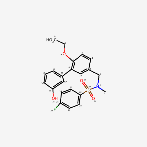 CN(Cc1ccc(OCC(=O)O)c(-c2cccc(O)c2)c1)S(=O)(=O)c1ccc(F)cc1